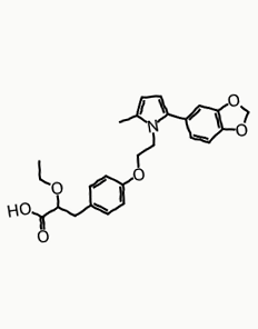 CCOC(Cc1ccc(OCCn2c(C)ccc2-c2ccc3c(c2)OCO3)cc1)C(=O)O